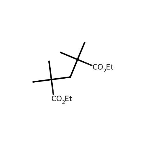 CCOC(=O)C(C)(C)CC(C)(C)C(=O)OCC